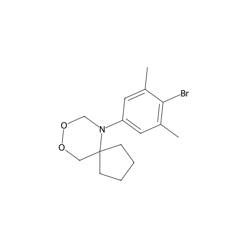 Cc1cc(N2COOCC23CCCC3)cc(C)c1Br